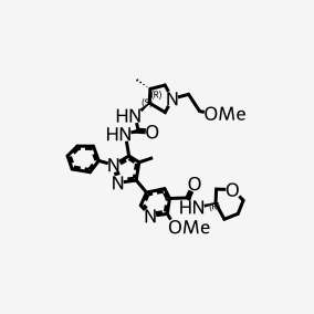 COCCN1C[C@@H](C)[C@H](NC(=O)Nc2c(C)c(-c3cnc(OC)c(C(=O)N[C@@H]4CCCOC4)c3)nn2-c2ccccc2)C1